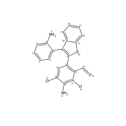 Nc1ccccc1-c1c(-c2cc(Cl)c(N)c(Cl)c2C=O)oc2ccccc12